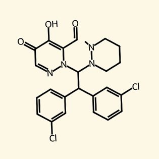 CN1CCCCN1C(C(c1cccc(Cl)c1)c1cccc(Cl)c1)n1ncc(=O)c(O)c1C=O